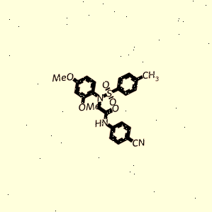 COc1ccc(N(CC(=O)Nc2ccc(C#N)cc2)S(=O)(=O)c2ccc(C)cc2)c(OC)c1